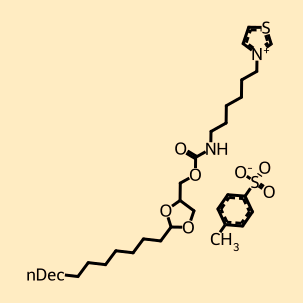 CCCCCCCCCCCCCCCCCC1OCC(COC(=O)NCCCCCC[n+]2ccsc2)O1.Cc1ccc(S(=O)(=O)[O-])cc1